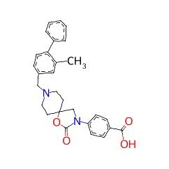 Cc1cc(CN2CCC3(CC2)CN(c2ccc(C(=O)O)cc2)C(=O)O3)ccc1-c1ccccc1